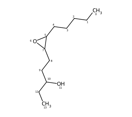 CCCCCC1OC1CCC(O)CC